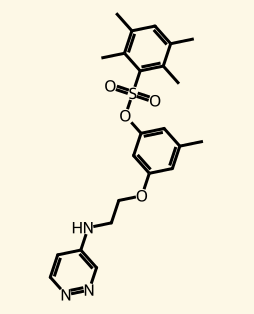 Cc1cc(OCCNc2ccnnc2)cc(OS(=O)(=O)c2c(C)c(C)cc(C)c2C)c1